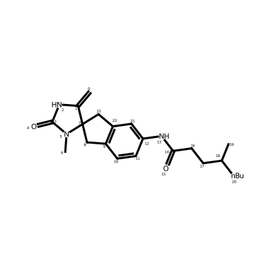 C=C1NC(=O)N(C)C12Cc1ccc(NC(=O)CCC(C)CCCC)cc1C2